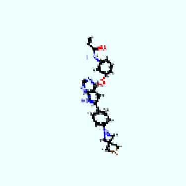 C=CC(=O)Nc1cccc(Oc2ncnc3[nH]c(-c4ccc(N5CC6(CSC6)C5)cc4)cc23)c1